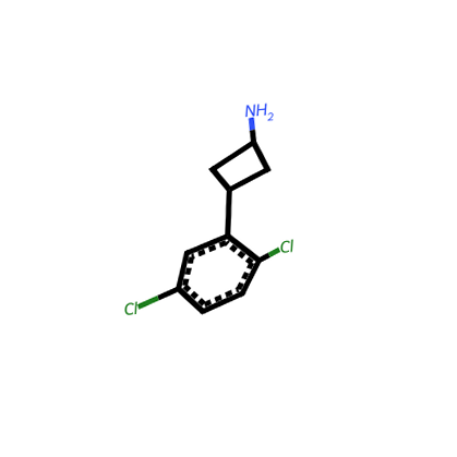 NC1CC(c2cc(Cl)ccc2Cl)C1